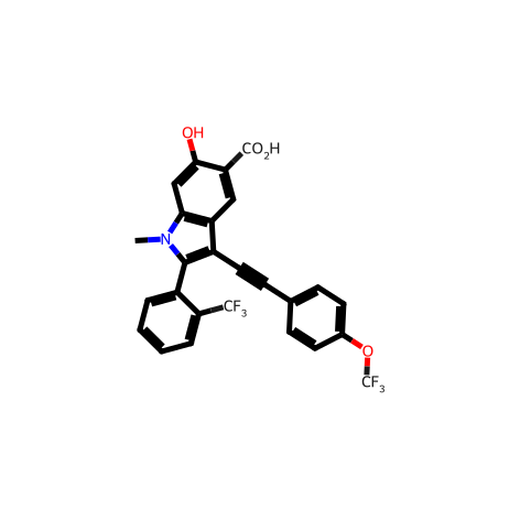 Cn1c(-c2ccccc2C(F)(F)F)c(C#Cc2ccc(OC(F)(F)F)cc2)c2cc(C(=O)O)c(O)cc21